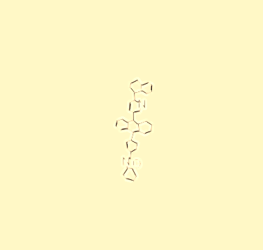 c1ccc2c(-c3ccc(-c4c5ccccc5c(-c5ccc(-c6nc7ccccc7o6)cc5)c5ccccc45)cn3)cccc2c1